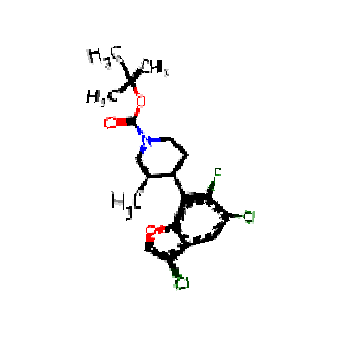 C[C@H]1CN(C(=O)OC(C)(C)C)CC[C@H]1c1c(F)c(Cl)cc2c(Cl)coc12